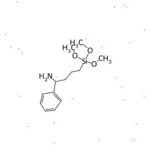 CO[Si](CCCC(N)c1ccccc1)(OC)OC